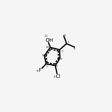 CC(C)c1cc(Cl)c(F)cc1O